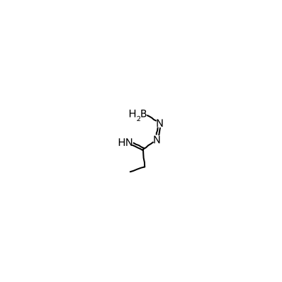 B/N=N\C(=N)CC